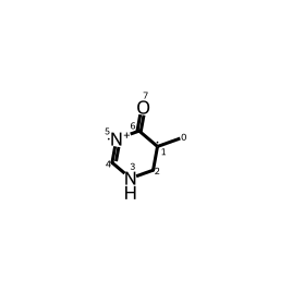 C[C]1CNC=[N+]C1=O